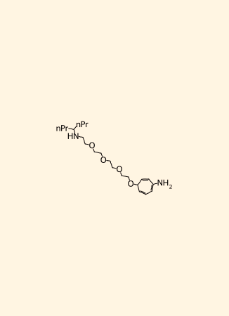 CCCC(CCC)NCCOCCOCCOCCOC1C=CC=C(N)C=C1